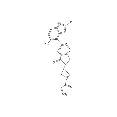 C=CC(=O)N1CC(N2Cc3ccc(-c4c(C)ccc5[nH]c(Cl)cc45)cc3C2=O)C1